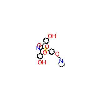 O=S(=O)(c1ccc(OCCN2CCCCC2)cc1)c1c(-c2ccc(O)cc2)noc1-c1ccc(O)cc1